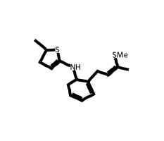 CS/C(C)=C\CC1=CC=CCC1NC1=CCC(C)S1